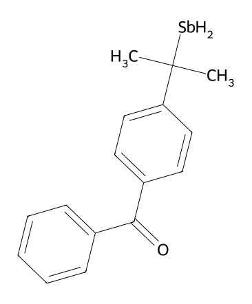 C[C](C)([SbH2])c1ccc(C(=O)c2ccccc2)cc1